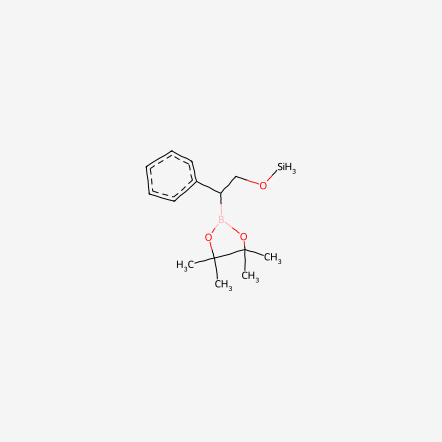 CC1(C)OB(C(CO[SiH3])c2ccccc2)OC1(C)C